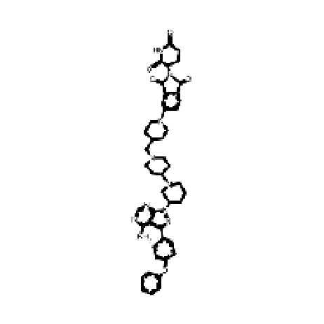 Nc1ncnc2c1c(-c1ccc(Oc3ccccc3)cc1)nn2C1CCCN(C2CCN(CC3CCN(c4ccc5c(c4)C(=O)N(C4CCC(=O)NC4=O)C5=O)CC3)CC2)C1